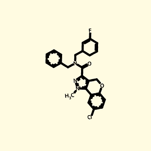 Cn1nc(C(=O)N(Cc2ccccc2)CC2C=C(F)C=CC2)c2c1-c1cc(Cl)ccc1OC2